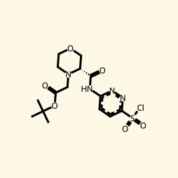 CC(C)(C)OC(=O)CN1CCOC[C@@H]1C(=O)Nc1ccc(S(=O)(=O)Cl)nn1